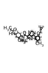 CCC(=O)NC1CCC(NC(=O)c2c(C)[nH]c3c(-c4cc(C)ccc4OCC4CC4)ncnc23)C(C)C1